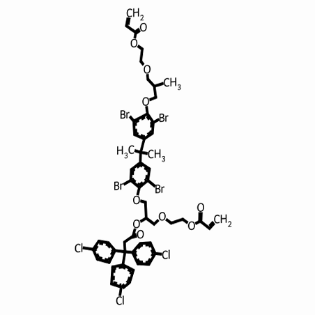 C=CC(=O)OCCOCC(C)COc1c(Br)cc(C(C)(C)c2cc(Br)c(OCC(COCCOC(=O)C=C)OC(=O)CC(c3ccc(Cl)cc3)(c3ccc(Cl)cc3)c3ccc(Cl)cc3)c(Br)c2)cc1Br